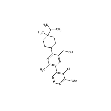 CSc1nccc(-c2nc(CO)c(N3CCC(C)([C@@H](C)N)CC3)nc2C)c1Cl